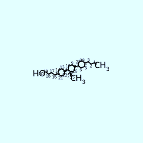 CCCCC1CCC(C2CCC(C3CCC(CCCCO)CC3)C(CC)C2)CC1